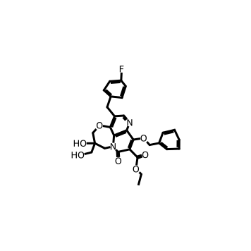 CCOC(=O)c1c(OCc2ccccc2)c2ncc(Cc3ccc(F)cc3)c3c2n(c1=O)CC(O)(CO)CO3